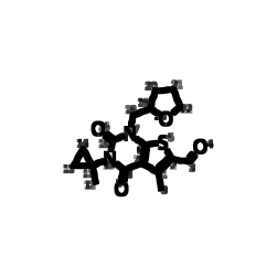 Cc1c(C=O)sc2c1c(=O)n(C1(C)CC1)c(=O)n2CC1CCCO1